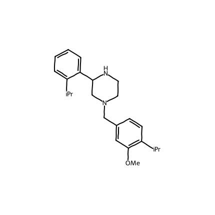 COc1cc(CN2CCNC(c3ccccc3C(C)C)C2)ccc1C(C)C